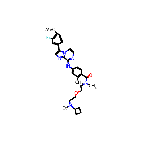 CCN(CCOCCN(C)C(=O)c1ccc(Nc2nccn3c(-c4ccc(OC)c(F)c4)cnc23)cc1C)C1CCC1